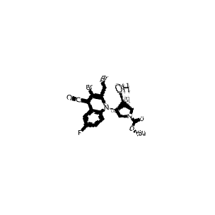 CC(C)(C)OC(=O)N1C[C@H](O)[C@@H](N2C(CBr)=C(Br)C(=C=O)c3cc(F)ccc32)C1